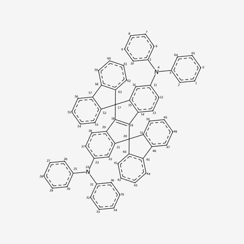 c1ccc(N(c2ccccc2)c2ccc3c(c2)C2(C4=C3C3(c5cc(N(c6ccccc6)c6ccccc6)ccc54)c4ccccc4-c4ccccc43)c3ccccc3-c3ccccc32)cc1